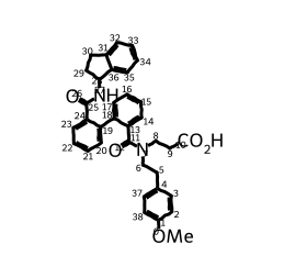 COc1ccc(CCN(CCC(=O)O)C(=O)c2ccccc2-c2ccccc2C(=O)NC2CCc3ccccc32)cc1